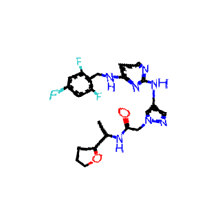 CC(NC(=O)Cn1cc(Nc2nccc(NCc3c(F)cc(F)cc3F)n2)cn1)C1CCCO1